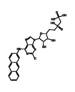 O=P(O)(O)CP(=O)(O)CCC1OC(n2cnc3c(Nc4ccc5cc6ccccc6cc5c4)nc(Cl)nc32)C(O)C1O